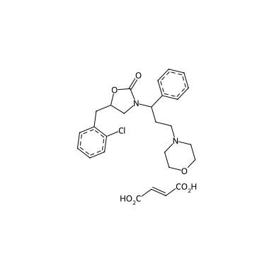 O=C(O)/C=C/C(=O)O.O=C1OC(Cc2ccccc2Cl)CN1C(CCN1CCOCC1)c1ccccc1